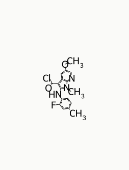 COc1cnc2c(c1)c(C(=O)Cl)c(Nc1ccc(C)cc1F)n2C